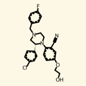 N#Cc1cc(OCCO)ccc1N1CCN(Cc2ccc(F)cc2)C[C@H]1c1ccc(Cl)cc1